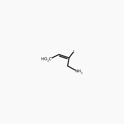 NC/C(I)=C\C(=O)O